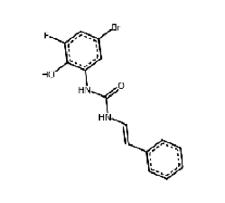 O=C(NC=Cc1ccccc1)Nc1cc(Br)cc(F)c1O